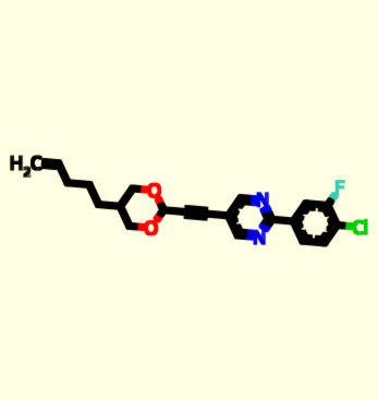 C=CCCCC1COC(C#Cc2cnc(-c3ccc(Cl)c(F)c3)nc2)OC1